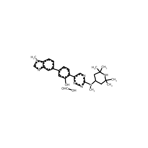 CN(c1ncc(-c2ccc(-c3ccc4c(c3)ncn4C)cc2O)nn1)C1CC(C)(C)NC(C)(C)C1.O=CO